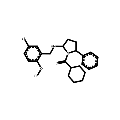 CC(C)Oc1ccc(Cl)cc1CNC1CCC(c2ccccc2)N1C(=O)C1CCCCC1